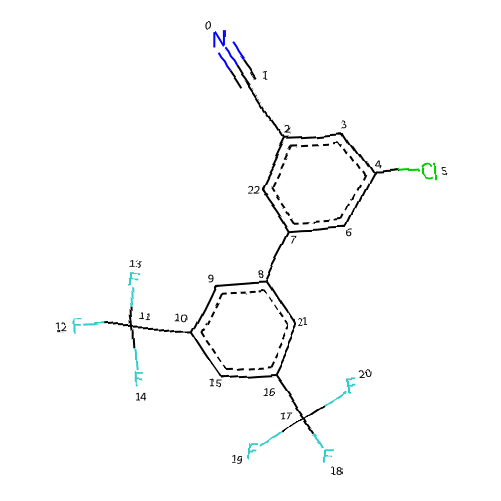 N#Cc1cc(Cl)cc(-c2cc(C(F)(F)F)cc(C(F)(F)F)c2)c1